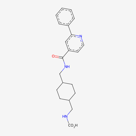 O=C(O)NCC1CCC(CNC(=O)c2ccnc(-c3ccccc3)c2)CC1